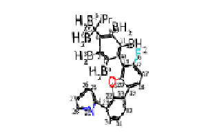 Bc1c(B)c(C(B)(B)C(C)C)c(B)c(B)c1-c1c(F)ccc2c1oc1c(-c3ccccn3)cccc12